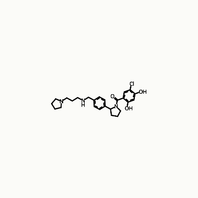 O=C(c1cc(Cl)c(O)cc1O)N1CCCC1c1ccc(CNCCCN2CCCC2)cc1